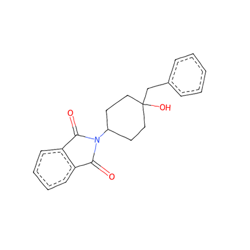 O=C1c2ccccc2C(=O)N1C1CCC(O)(Cc2ccccc2)CC1